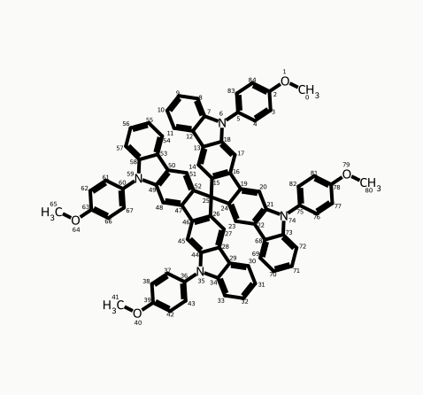 COc1ccc(-n2c3ccccc3c3cc4c(cc32)-c2cc3c(cc2C42c4cc5c6ccccc6n(-c6ccc(OC)cc6)c5cc4-c4cc5c(cc42)c2ccccc2n5-c2ccc(OC)cc2)c2ccccc2n3-c2ccc(OC)cc2)cc1